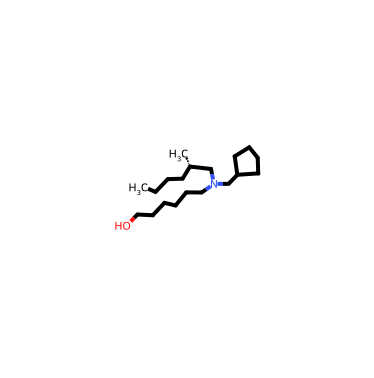 CCCC[C@H](C)CN(CCCCCCO)CC1CCCC1